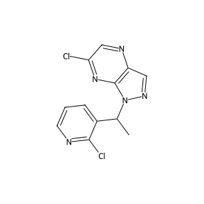 CC(c1cccnc1Cl)n1ncc2ncc(Cl)nc21